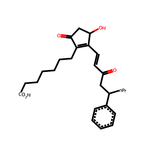 CCCC(CC(=O)C=CC1=C(CCCCCCC(=O)O)C(=O)CC1O)c1ccccc1